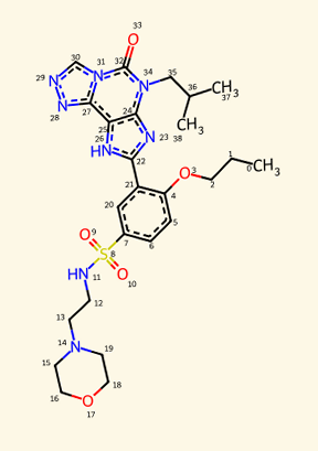 CCCOc1ccc(S(=O)(=O)NCCN2CCOCC2)cc1-c1nc2c([nH]1)c1nncn1c(=O)n2CC(C)C